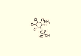 Cl[C@H]1[C@H](Cl)[C@@H](Cl)[C@@H](Cl)[C@H](Cl)[C@H]1Cl.N.O=P(O)(O)F